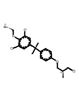 CC[C@H](C)COc1c(Cl)cc(C(C)(C)c2ccc(OC[C@H](C)CCl)cc2)cc1Cl